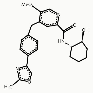 COc1cnc(C(=O)N[C@H]2CCCC[C@@H]2O)cc1Cc1ccc(-c2coc(C)n2)cc1